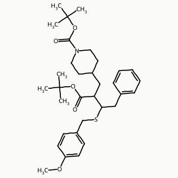 COc1ccc(CSC(Cc2ccccc2)C(CC2CCN(C(=O)OC(C)(C)C)CC2)C(=O)OC(C)(C)C)cc1